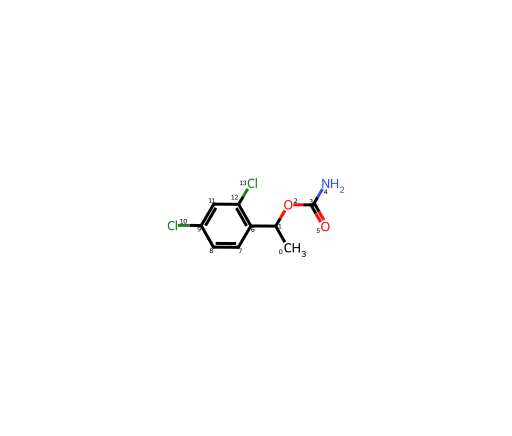 CC(OC(N)=O)c1ccc(Cl)cc1Cl